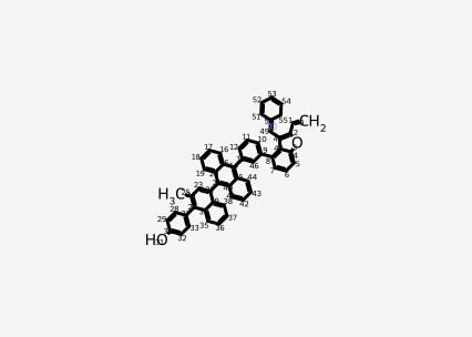 C=Cc1oc2cccc(-c3cccc(-c4c5ccccc5c(-c5cc(C)c(-c6ccc(O)cc6)c6ccccc56)c5ccccc45)c3)c2c1/C=C1/C=CC=CC1